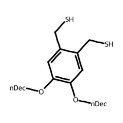 CCCCCCCCCCOc1cc(CS)c(CS)cc1OCCCCCCCCCC